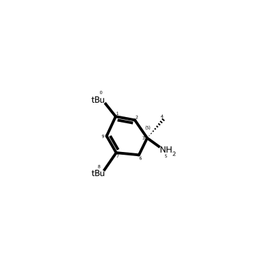 CC(C)(C)C1=C[C@@](C)(N)CC(C(C)(C)C)=C1